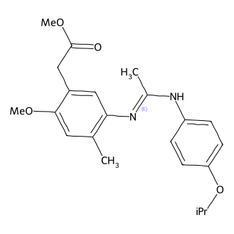 COC(=O)Cc1cc(/N=C(\C)Nc2ccc(OC(C)C)cc2)c(C)cc1OC